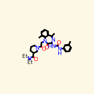 CCN(CC)C(=O)C1CCCN(C(=O)CN2C(=O)C(NC(=O)Nc3cccc(C)c3)N=C(C)c3cccc(C)c32)C1